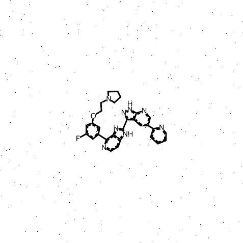 Fc1cc(OCCN2CCCC2)cc(-c2nccc3[nH]c(-c4n[nH]c5ncc(-c6ccccn6)cc45)nc23)c1